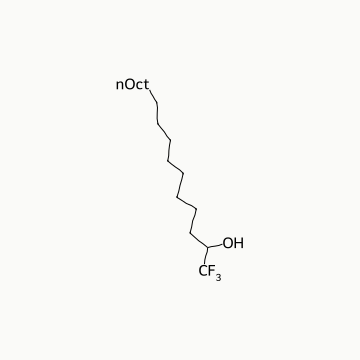 CCCCCCCCCCCCCCCCC(O)C(F)(F)F